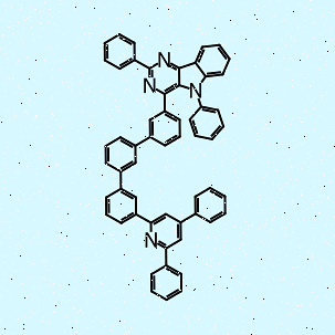 c1ccc(-c2cc(-c3ccccc3)nc(-c3cccc(-c4cccc(-c5cccc(-c6nc(-c7ccccc7)nc7c8ccccc8n(-c8ccccc8)c67)c5)c4)c3)c2)cc1